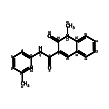 Cc1cccc(NC(=O)c2cc3ccccc3n(C)c2=O)n1